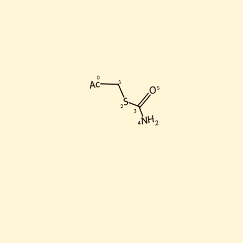 CC(=O)CSC(N)=O